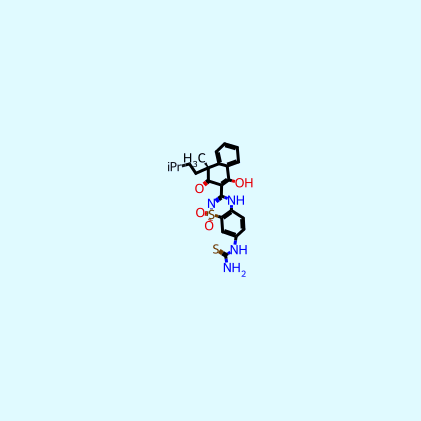 CC(C)CC[C@@]1(C)C(=O)C(C2=NS(=O)(=O)c3cc(NC(N)=S)ccc3N2)=C(O)c2ccccc21